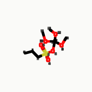 CCCS(=O)(=O)O[Si](OC)(OC)OC